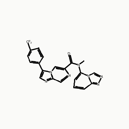 CN(C(=O)c1cn2c(-c3ccc(C(F)(F)F)cc3)cnc2cn1)c1cccc2nncn12